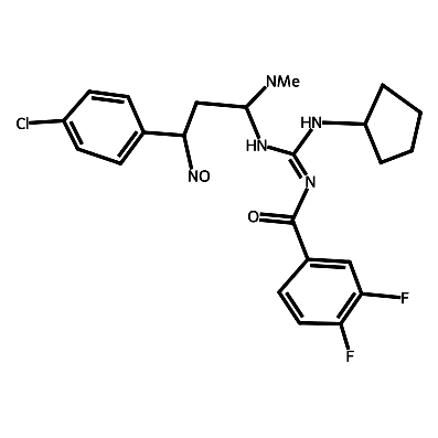 CNC(CC(N=O)c1ccc(Cl)cc1)N/C(=N\C(=O)c1ccc(F)c(F)c1)NC1CCCC1